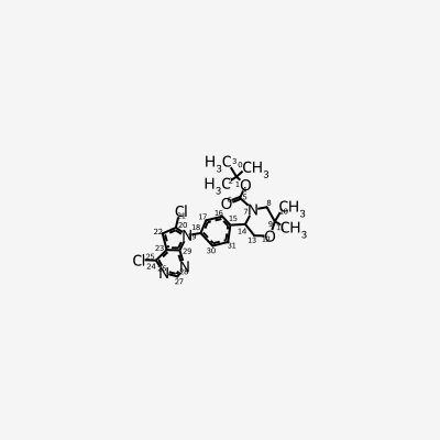 CC(C)(C)OC(=O)N1CC(C)(C)OCC1c1ccc(-n2c(Cl)cc3c(Cl)ncnc32)cc1